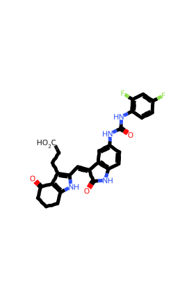 O=C(O)CCc1c(/C=C2\C(=O)Nc3ccc(NC(=O)Nc4ccc(F)cc4F)cc32)[nH]c2c1C(=O)CCC2